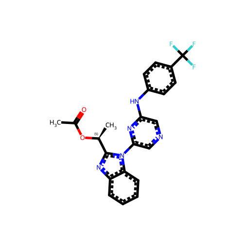 CC(=O)O[C@@H](C)c1nc2ccccc2n1-c1cncc(Nc2ccc(C(F)(F)F)cc2)n1